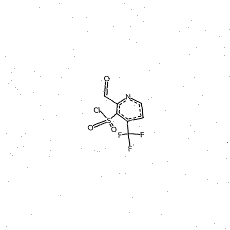 O=Cc1nccc(C(F)(F)F)c1S(=O)(=O)Cl